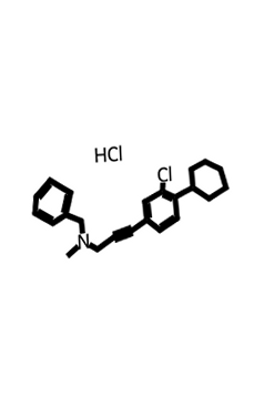 CN(CC#Cc1ccc(C2CCCCC2)c(Cl)c1)Cc1ccccc1.Cl